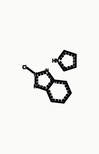 Cln1nc2ccccc2n1.c1cc[nH]c1